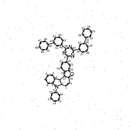 C1=CC2C(c3ccccc3N2c2ccccc2)c2c1oc1cc(-c3nc(-c4cccc(-c5ccccc5)c4)nc(-c4cccc(-c5ccccc5)c4)n3)ccc21